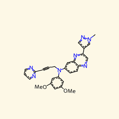 COc1cc(OC)cc(N(CC#Cc2ncccn2)c2ccc3ncc(-c4cnn(C)c4)nc3c2)c1